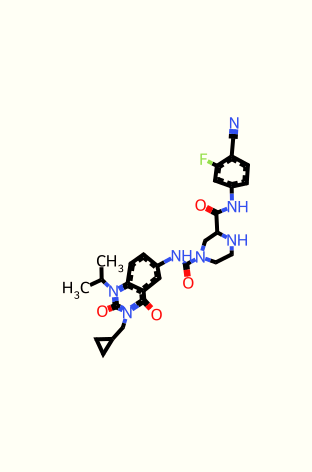 CC(C)n1c(=O)n(CC2CC2)c(=O)c2cc(NC(=O)N3CCNC(C(=O)Nc4ccc(C#N)c(F)c4)C3)ccc21